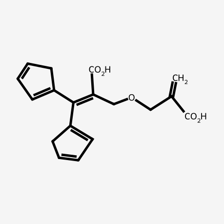 C=C(COCC(C(=O)O)=C(C1=CC=CC1)C1=CC=CC1)C(=O)O